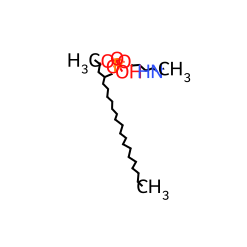 CCCCCCCCCCCCCCCCCCC(COP(=O)(O)OCCCCNC)CC(C)=O